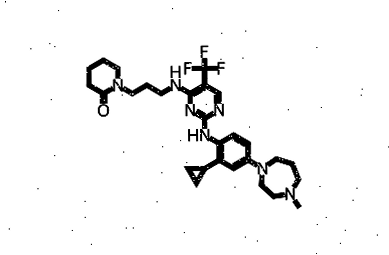 CN1CCCN(c2ccc(Nc3ncc(C(F)(F)F)c(NCCCN4CCCCC4=O)n3)c(C3CC3)c2)CC1